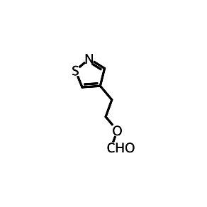 O=COCCc1cnsc1